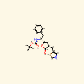 CC(C)(C)OC(=O)NC(Cc1ccccc1)[C@@H]1C[C@@H](Cc2cncs2)C(=O)O1